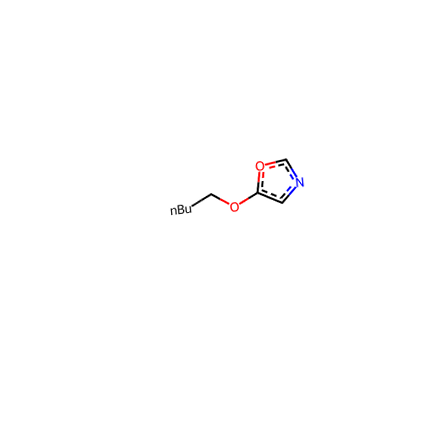 CCCCCOc1cnco1